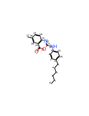 CCCCCCc1ccc(Nc2nc3ccc(C)cc3c(=O)o2)cc1